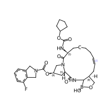 O=C(N[C@H]1CCCC/C=C\C[C@H]2COB(O)C2NC(=O)[C@@H]2C[C@@H](OC(=O)N3Cc4cccc(F)c4C3)CN2C1=O)OC1CCCC1